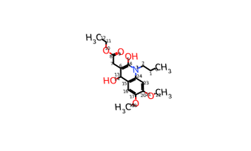 CCCN1C(O)=C(CC(=O)OCC)C(O)c2cc(OC)c(OC)cc21